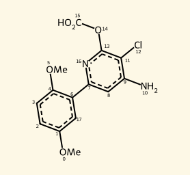 COc1ccc(OC)c(-c2cc(N)c(Cl)c(OC(=O)O)n2)c1